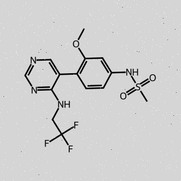 COc1cc(NS(C)(=O)=O)ccc1-c1cncnc1NCC(F)(F)F